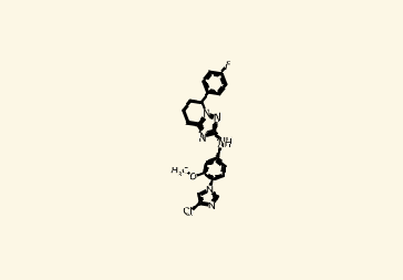 COc1cc(Nc2nc3n(n2)C(c2ccc(F)cc2)CCC3)ccc1-n1cnc(Cl)c1